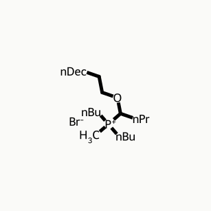 CCCCCCCCCCCCOC(CCC)[P+](C)(CCCC)CCCC.[Br-]